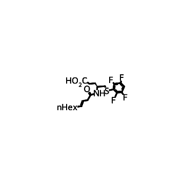 CCCCCC/C=C/CC(=O)N[C@@H](CCC(=O)O)CSc1c(F)c(F)cc(F)c1F